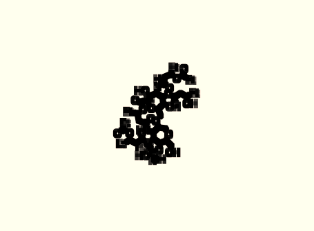 CCC(=O)OC(CC)CC(=O)NC1C(O)COC(COC2COC(CO)C(O[PH](C)(O)O)C(OC(=O)CC(CC)OC(=O)CC)C2NC(=O)CC(CC)OC(=O)CC)C(O)C1OC(=O)CC(O)CC